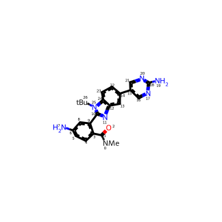 CNC(=O)c1ccc(N)cc1-c1nc2cc(-c3cnc(N)nc3)ccc2n1C(C)(C)C